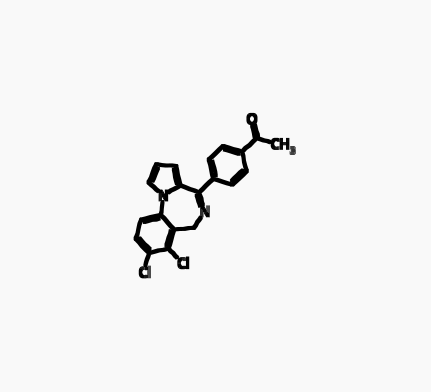 CC(=O)c1ccc(C2=NCc3c(ccc(Cl)c3Cl)-n3cccc32)cc1